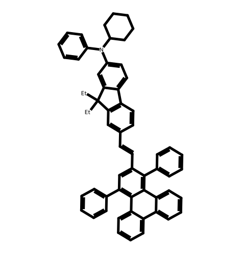 CCC1(CC)c2cc(/C=C/c3cc(-c4ccccc4)c4c5ccccc5c5ccccc5c4c3-c3ccccc3)ccc2-c2ccc(N(c3ccccc3)C3CCCCC3)cc21